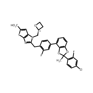 CC1(c2ccc(Cl)cc2F)Oc2cccc(-c3ccc(Cc4nc5sc(C(=O)O)cc5n4C[C@@H]4CCO4)c(F)c3)c2O1